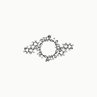 CC(C)C[C@H]1C(=O)O[C@H](Cc2ccc(CN3CCOc4ccncc43)cc2)C(=O)N(C)[C@@H](CC(C)C)C(=O)O[C@H](C)C(=O)N(C)[C@@H](CC(C)C)C(=O)O[C@H](Cc2ccc(CN3CCOc4ccncc43)cc2)C(=O)N(C)[C@@H](CC(C)C)C(=O)O[C@H](C)C(=O)N1C